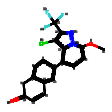 COc1ccc(-c2ccc3c(c2)C=CC(=O)C3)c2c(Cl)c(C(F)(F)F)nn12